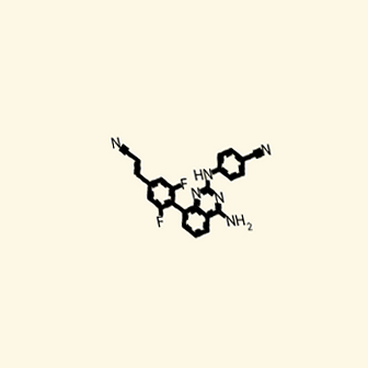 N#CC=Cc1cc(F)c(-c2cccc3c(N)nc(Nc4ccc(C#N)cc4)nc23)c(F)c1